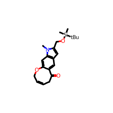 Cn1c(CO[Si](C)(C)C(C)(C)C)cc2cc3c(cc21)OCC=CCC3=O